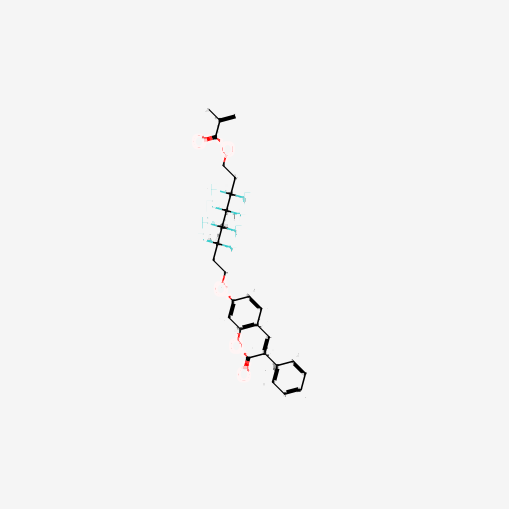 C=C(C)C(=O)OCCC(F)(F)C(F)(F)C(F)(F)C(F)(F)CCOc1ccc2cc(-c3ccccc3)c(=O)oc2c1